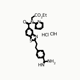 CCOC(=O)CN(C(=O)c1ccc2sc(CCc3ccc(C(=N)N)cc3)nc2c1)c1ccccn1.Cl.Cl